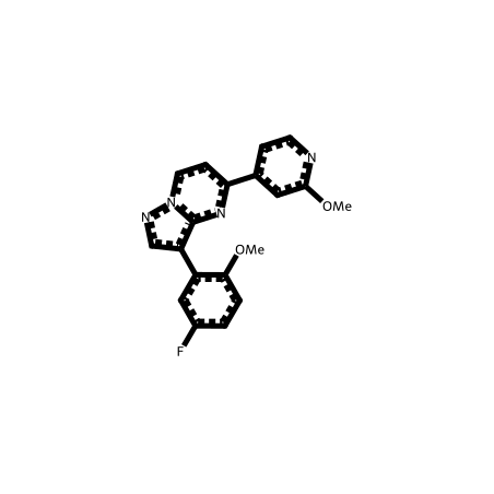 COc1cc(-c2ccn3ncc(-c4cc(F)ccc4OC)c3n2)ccn1